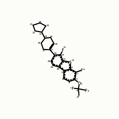 Fc1c(OC(F)(F)F)ccc2c1sc1c(F)c(C3=CCC(C4CCCC4)CC3)ccc12